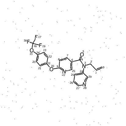 C=CCN(C(=O)c1ccc(Oc2ccc(OC(F)(F)F)cc2)nc1)c1cccnc1